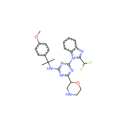 COc1ccc(C(C)(C)Nc2nc(C3CNCCO3)nc(-n3c(C(F)F)nc4ccccc43)n2)cc1